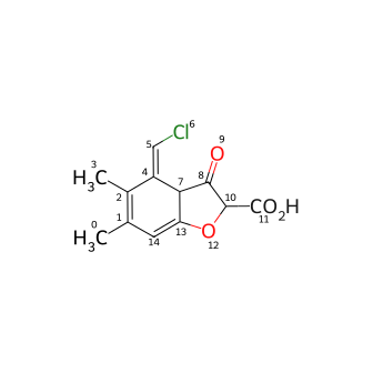 CC1=C(C)C(=CCl)C2C(=O)C(C(=O)O)OC2=C1